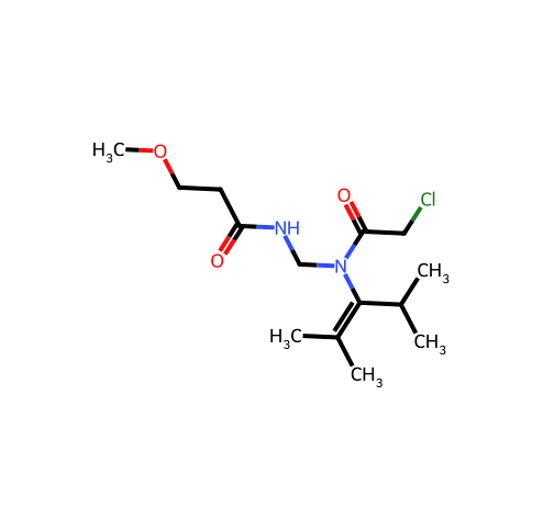 COCCC(=O)NCN(C(=O)CCl)C(=C(C)C)C(C)C